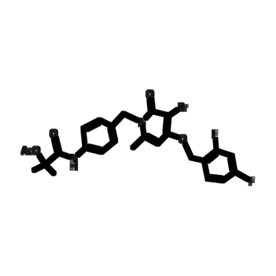 CC(=O)OC(C)(C)C(=O)Nc1ccc(Cn2c(C)cc(OCc3ccc(F)cc3F)c(Br)c2=O)cc1